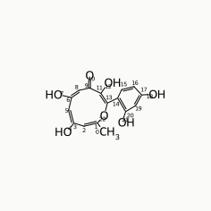 Cc1cc(O)cc(O)cc(=O)c(O)c(-c2ccc(O)cc2O)o1